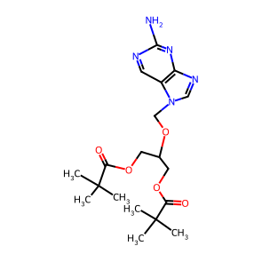 CC(C)(C)C(=O)OCC(COC(=O)C(C)(C)C)OCn1cnc2nc(N)ncc21